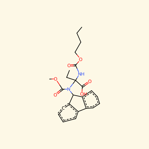 CCCCOC(=O)NC(CC)(C(=O)O)N(C(=O)OC)C1c2ccccc2-c2ccccc21